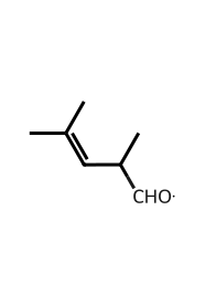 CC(C)=CC(C)[C]=O